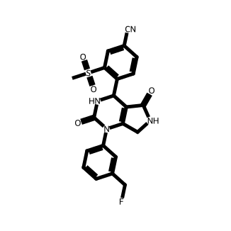 CS(=O)(=O)c1cc(C#N)ccc1C1NC(=O)N(c2cccc(CF)c2)C2=C1C(=O)NC2